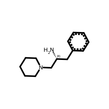 N[C@H](Cc1ccccc1)CN1CCCCC1